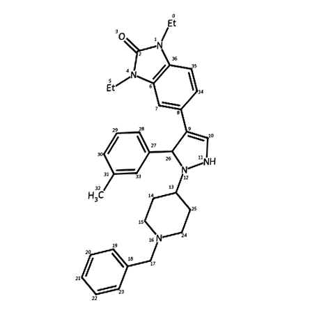 CCn1c(=O)n(CC)c2cc(C3=CNN(C4CCN(Cc5ccccc5)CC4)C3c3cccc(C)c3)ccc21